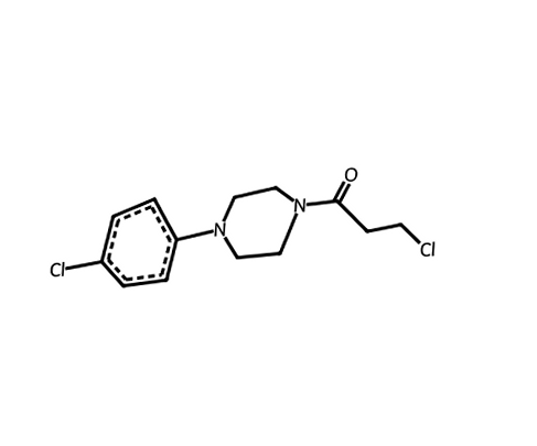 O=C(CCCl)N1CCN(c2ccc(Cl)cc2)CC1